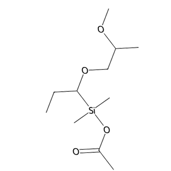 CCC(OCC(C)OC)[Si](C)(C)OC(C)=O